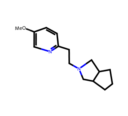 COc1ccc(CCN2CC3CCCC3C2)nc1